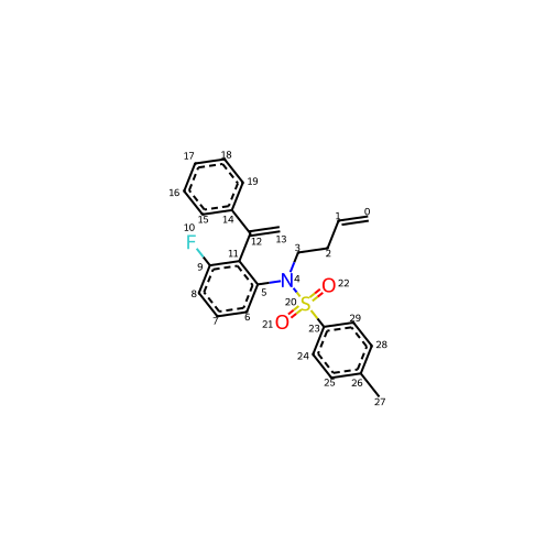 C=CCCN(c1cccc(F)c1C(=C)c1ccccc1)S(=O)(=O)c1ccc(C)cc1